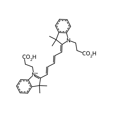 CC1(C)C(/C=C/C=C/C=C2/N(CCC(=O)O)c3ccccc3C2(C)C)=[N+](CCC(=O)O)c2ccccc21